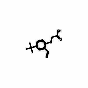 CC(C)(C)c1ccc(OCC(=O)O)c(C=O)c1